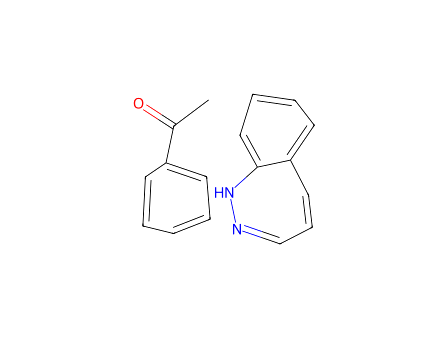 C1=Cc2ccccc2NN=C1.CC(=O)c1ccccc1